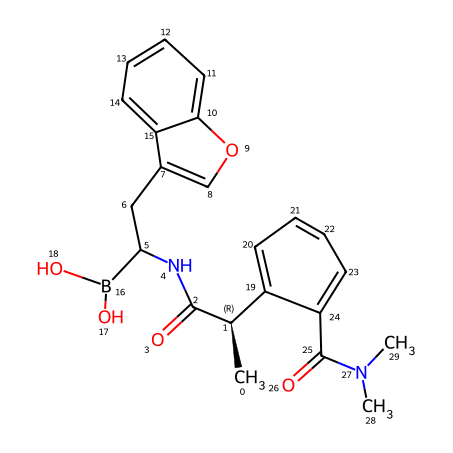 C[C@@H](C(=O)NC(Cc1coc2ccccc12)B(O)O)c1ccccc1C(=O)N(C)C